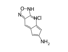 Cl.Nc1cc2cc3no[nH]c3cc2c1